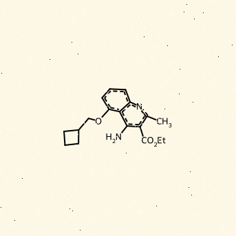 CCOC(=O)c1c(C)nc2cccc(OCC3CCC3)c2c1N